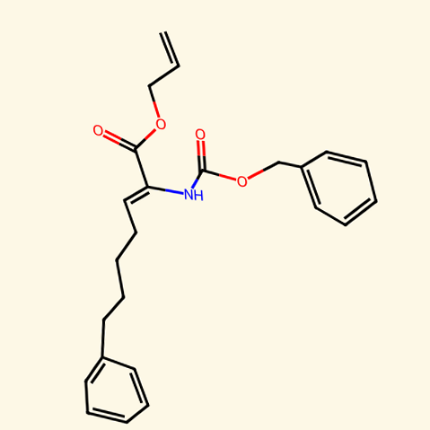 C=CCOC(=O)C(=CCCCCc1ccccc1)NC(=O)OCc1ccccc1